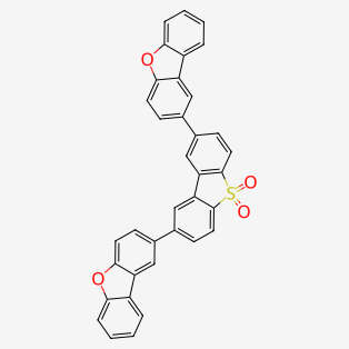 O=S1(=O)c2ccc(-c3ccc4oc5ccccc5c4c3)cc2-c2cc(-c3ccc4oc5ccccc5c4c3)ccc21